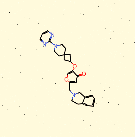 O=c1cc(CN2CCc3ccccc3C2)occ1OC1CC2(CCN(c3ncccn3)CC2)C1